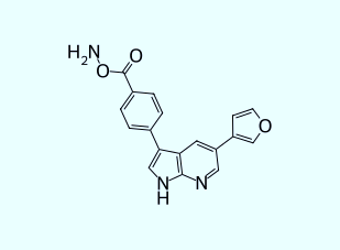 NOC(=O)c1ccc(-c2c[nH]c3ncc(-c4ccoc4)cc23)cc1